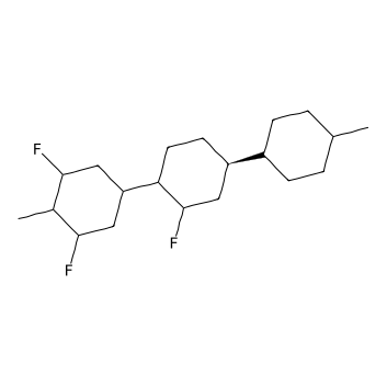 CC1CCC([C@@H]2CCC(C3CC(F)C(C)C(F)C3)C(F)C2)CC1